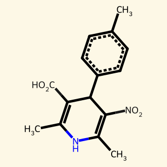 CC1=C(C(=O)O)C(c2ccc(C)cc2)C([N+](=O)[O-])=C(C)N1